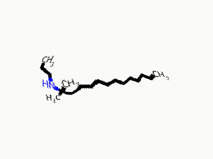 CCCCCCCCCCCCC(C)(C)NCCC